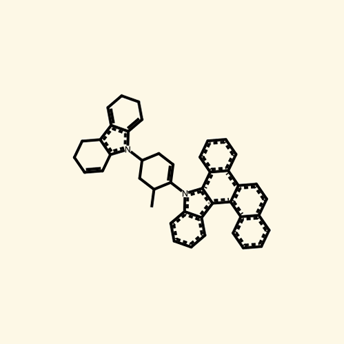 CC1CC(n2c3c(c4c2=CCCC=4)CCC=C3)CC=C1n1c2ccccc2c2c3c4ccccc4ccc3c3ccccc3c21